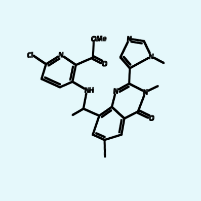 COC(=O)c1nc(Cl)ccc1NC(C)c1cc(C)cc2c(=O)n(C)c(-c3cncn3C)nc12